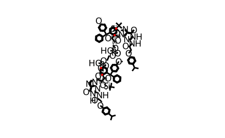 COc1ccc(C(O[C@H]2[C@@H](O[Si](C)(C)C(C)(C)C)[C@H](n3cnc4c(=O)[nH]c(NC(=O)COc5ccc(C(C)C)cc5)nc43)O[C@@H]2COP(=O)(O)OCCOP(=O)(O)OC[C@H]2O[C@@H](n3cnc4c(=O)[nH]c(NC(=O)COc5ccc(C(C)C)cc5)nc43)[C@H](O[Si](C)(C)C(C)(C)C)[C@@H]2OC(c2ccccc2)(c2ccccc2)c2ccc(OC)cc2)(c2ccccc2)c2ccccc2)cc1